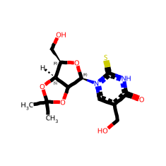 CC1(C)OC2[C@@H](O1)[C@@H](CO)O[C@H]2n1cc(CO)c(=O)[nH]c1=S